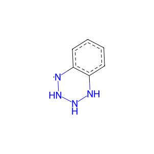 c1ccc2c(c1)[N]NNN2